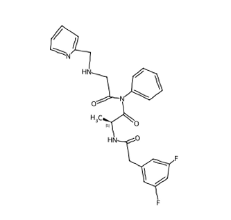 C[C@H](NC(=O)Cc1cc(F)cc(F)c1)C(=O)N(C(=O)CNCc1ccccn1)c1ccccc1